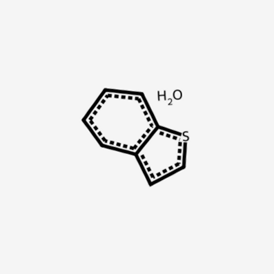 O.c1ccc2sccc2c1